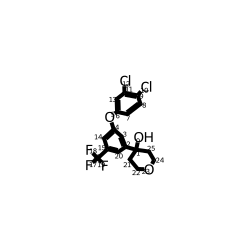 OC1(c2cc(Oc3ccc(Cl)c(Cl)c3)cc(C(F)(F)F)c2)CCOCC1